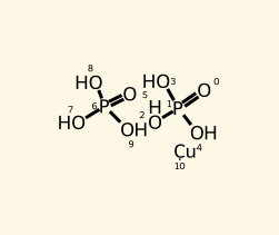 O=P(O)(O)O.O=P(O)(O)O.[Cu]